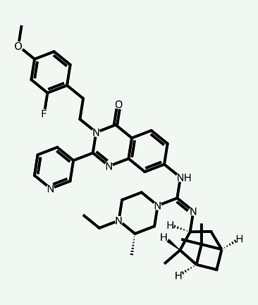 CCN1CCN(/C(=N\[C@H]2C[C@H]3C[C@@H]([C@@H]2C)C3(C)C)Nc2ccc3c(=O)n(CCc4ccc(OC)cc4F)c(-c4cccnc4)nc3c2)C[C@@H]1C